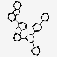 C1=CC2c3c(cccc3C3=NC(c4ccccc4)=NC(C4=CCC(c5ccccc5)C=C4)N3)OC2C(c2cccc3c2oc2ccccc23)=C1